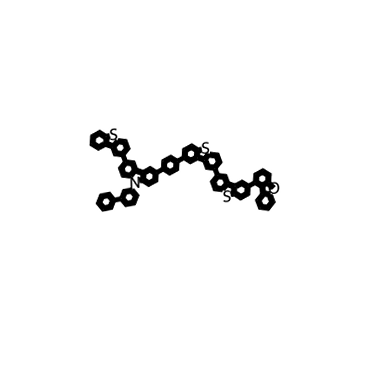 c1ccc(-c2cccc(-n3c4ccc(-c5ccc(-c6ccc7sc8ccc(-c9ccc%10sc%11ccc(-c%12cccc%13oc%14ccccc%14c%12%13)cc%11c%10c9)cc8c7c6)cc5)cc4c4cc(-c5ccc6sc7ccccc7c6c5)ccc43)c2)cc1